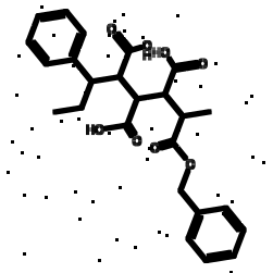 CCC(c1ccccc1)C(C(=O)O)C(C(=O)O)C(C(=O)O)C(C)C(=O)OCc1ccccc1